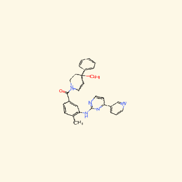 Cc1ccc(C(=O)N2CCC(O)(c3ccccc3)CC2)cc1Nc1nccc(-c2cccnc2)n1